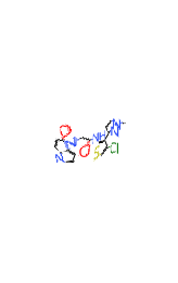 Cn1ccc(-c2c(Cl)csc2NC(=O)Cn2c(=O)ccc3ncccc32)n1